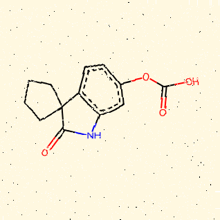 O=C(O)Oc1ccc2c(c1)NC(=O)C21CCCC1